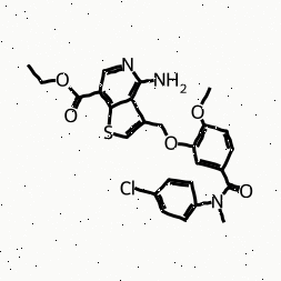 CCOC(=O)c1cnc(N)c2c(COc3cc(C(=O)N(C)c4ccc(Cl)cc4)ccc3OC)csc12